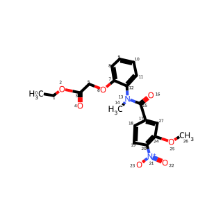 CCOC(=O)COc1ccccc1N(C)C(=O)c1ccc([N+](=O)[O-])c(OC)c1